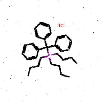 CCCC[P+](CCCC)(CCCC)C(c1ccccc1)(c1ccccc1)c1ccccc1.[OH-]